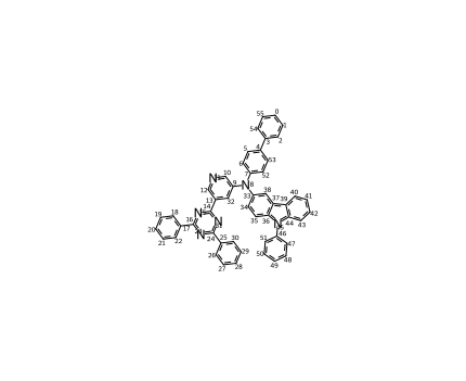 c1ccc(-c2ccc(N(c3cncc(-c4nc(-c5ccccc5)nc(-c5ccccc5)n4)c3)c3ccc4c(c3)c3ccccc3n4-c3ccccc3)cc2)cc1